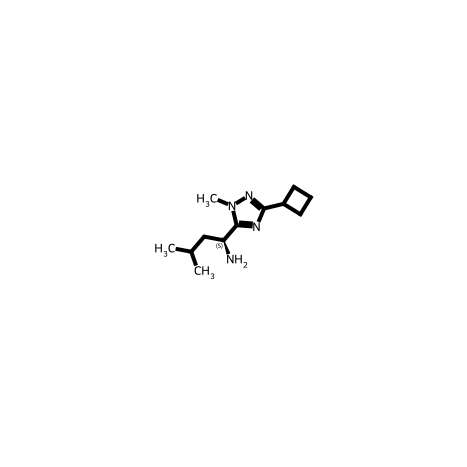 CC(C)C[C@H](N)c1nc(C2CCC2)nn1C